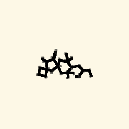 CCC(O)CN1C(C)(C)CC2(CC1(C)C)OC1(CCC1)N(C)C2=O